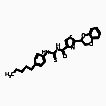 CCCCCc1ccc(NC(=S)NC(=O)c2csc(C3COc4ccccc4O3)n2)cc1